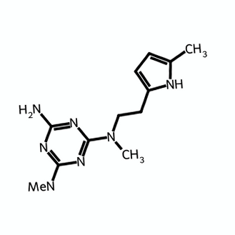 CNc1nc(N)nc(N(C)CCc2ccc(C)[nH]2)n1